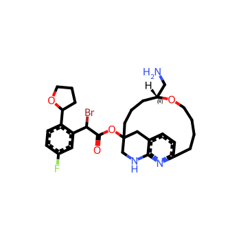 NC[C@H]1CCCC2(OC(=O)C(Br)c3cc(F)ccc3C3CCCO3)CNc3nc(ccc3C2)CCCCO1